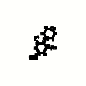 CC(C)(C)c1cc(F)c(N2CCOCC2)c(F)c1